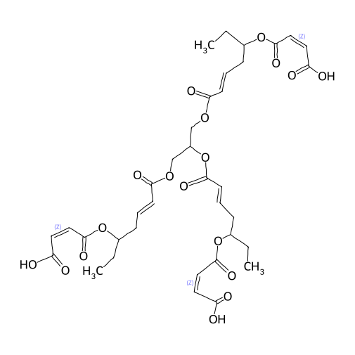 CCC(CC=CC(=O)OCC(COC(=O)C=CCC(CC)OC(=O)/C=C\C(=O)O)OC(=O)C=CCC(CC)OC(=O)/C=C\C(=O)O)OC(=O)/C=C\C(=O)O